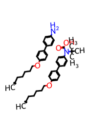 C#CCCCCCOc1ccc(-c2ccc(N(C(=O)O)C(C)(C)C)cc2)cc1.C#CCCCCCOc1ccc(-c2ccc(N)cc2)cc1